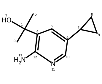 CC(C)(O)c1cc(C2CC2)cnc1N